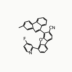 Cc1ccc2c(c1)cc(-c1c(C#N)ccc3c1oc1c(-c4cc(F)ccn4)cccc13)c1ccccc12